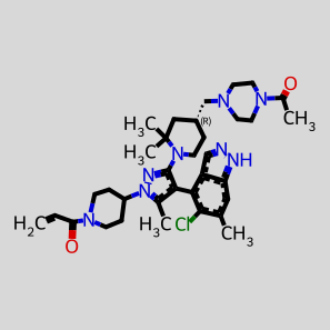 C=CC(=O)N1CCC(n2nc(N3CC[C@@H](CN4CCN(C(C)=O)CC4)CC3(C)C)c(-c3c(Cl)c(C)cc4[nH]ncc34)c2C)CC1